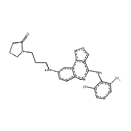 Cc1cccc(Cl)c1Nc1nc2ccc(NCCCN3CCCC3=O)cc2n2cncc12